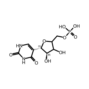 O=c1[nH]cc([C@@H]2OC(COP(=O)(O)O)C(O)[C@H]2O)c(=O)[nH]1